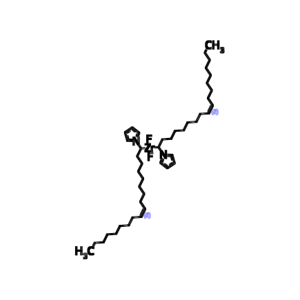 CCCCCCCC/C=C\CCCCCCC[CH](n1cccc1)[Zr]([F])([F])[CH](CCCCCCC/C=C\CCCCCCCC)n1cccc1